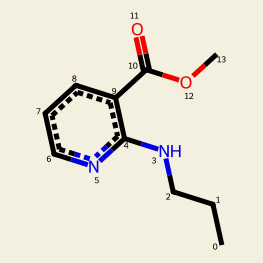 CCCNc1ncccc1C(=O)OC